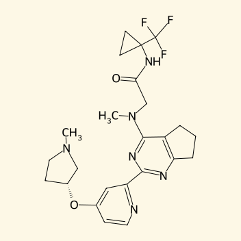 CN1CC[C@@H](Oc2ccnc(-c3nc4c(c(N(C)CC(=O)NC5(C(F)(F)F)CC5)n3)CCC4)c2)C1